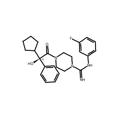 N=C(Nc1cccc(F)c1)N1CCN(C(=O)[C@](O)(c2ccccc2)C2CCCC2)CC1